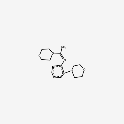 NC(=Nc1ccccc1N1CCOCC1)N1CCSCC1